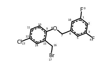 Fc1cc(F)cc(COc2ccc(Cl)cc2CBr)c1